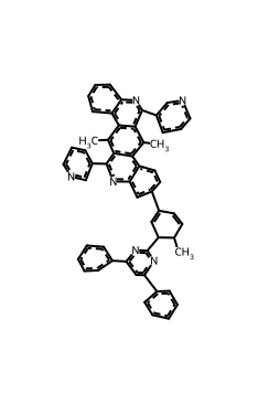 Cc1c2c(-c3cccnc3)nc3cc(C4=CC(c5nc(-c6ccccc6)cc(-c6ccccc6)n5)C(C)C=C4)ccc3c2c(C)c2c(-c3cccnc3)nc3ccccc3c12